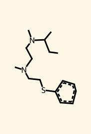 CCC(C)N(C)CCN(C)CCSc1ccccc1